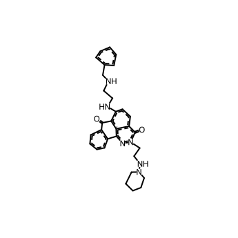 O=C1c2ccccc2-c2nn(CCNN3CCCCC3)c(=O)c3ccc(NCCNCc4ccccc4)c1c23